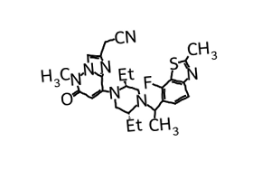 CC[C@H]1CN(C(C)c2ccc3nc(C)sc3c2F)[C@H](CC)CN1c1cc(=O)n(C)n2cc(CC#N)nc12